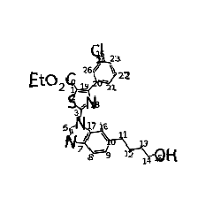 CCOC(=O)c1sc(-n2cnc3ccc(CCCCO)cc32)nc1-c1cccc(Cl)c1